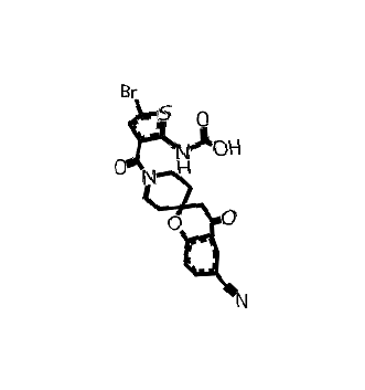 N#Cc1ccc2c(c1)C(=O)CC1(CCN(C(=O)c3cc(Br)sc3NC(=O)O)CC1)O2